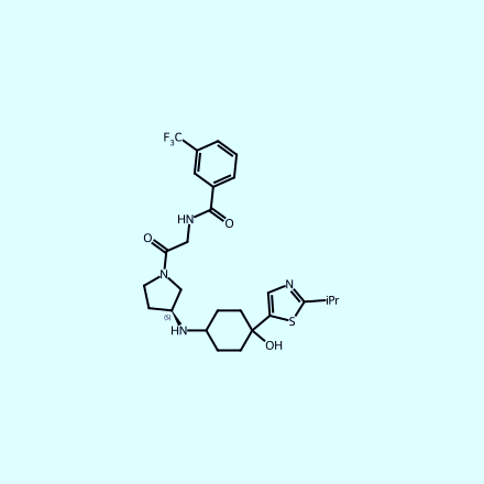 CC(C)c1ncc(C2(O)CCC(N[C@H]3CCN(C(=O)CNC(=O)c4cccc(C(F)(F)F)c4)C3)CC2)s1